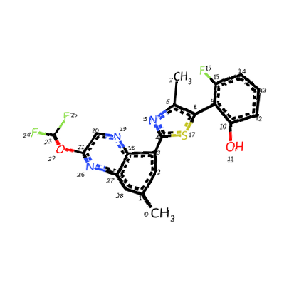 Cc1cc(-c2nc(C)c(-c3c(O)cccc3F)s2)c2ncc(OC(F)F)nc2c1